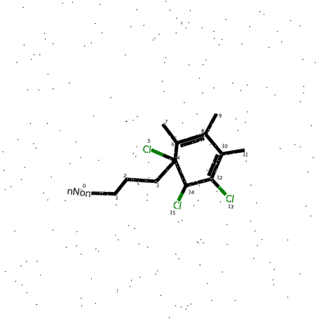 CCCCCCCCCCCCC1(Cl)C(C)=C(C)C(C)=C(Cl)C1Cl